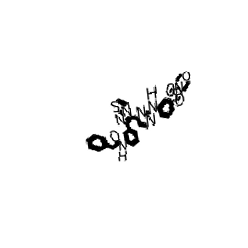 O=C(Cc1ccccc1)Nc1cccc(-c2nc3sccn3c2-c2ccnc(Nc3cccc(S(=O)(=O)N4CCOCC4)c3)n2)c1